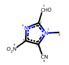 Cn1c(C=O)nc([N+](=O)[O-])c1C#N